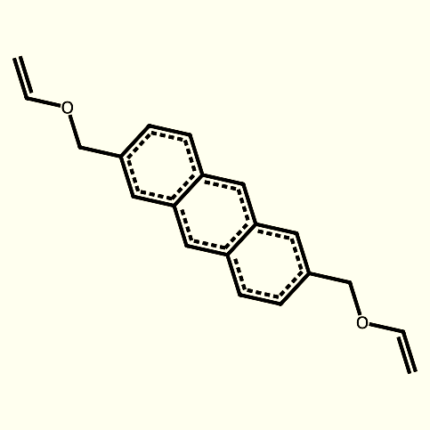 C=COCc1ccc2cc3cc(COC=C)ccc3cc2c1